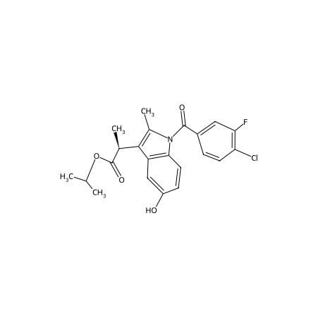 Cc1c([C@H](C)C(=O)OC(C)C)c2cc(O)ccc2n1C(=O)c1ccc(Cl)c(F)c1